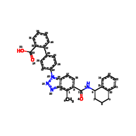 Cc1c(C(=O)NC2CCCc3ccccc32)ccc2c1nnn2-c1ccc(-c2ccccc2C(=O)O)cc1